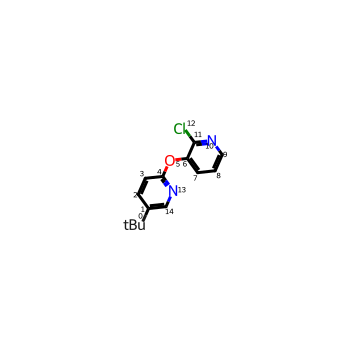 CC(C)(C)c1ccc(Oc2cccnc2Cl)nc1